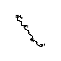 NCCCNCCCCNCCO